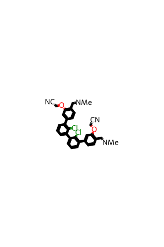 CNCc1ccc(-c2cccc(-c3cccc(-c4ccc(CNC)c(OCC#N)c4)c3Cl)c2Cl)cc1OCC#N